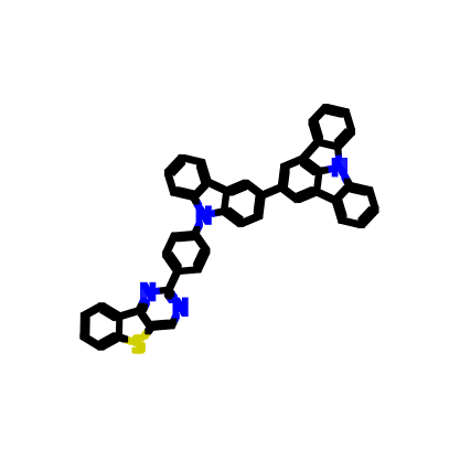 c1ccc2c(c1)sc1cnc(-c3ccc(-n4c5ccccc5c5cc(-c6cc7c8ccccc8n8c9ccccc9c(c6)c78)ccc54)cc3)nc12